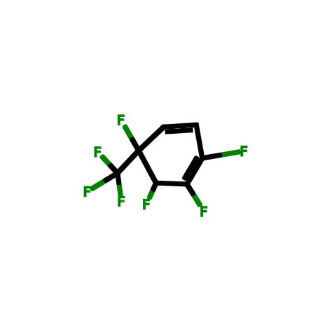 FC1=C(F)C(F)C(F)(C(F)(F)F)C=C1